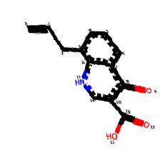 C=CCc1cccc2c(=O)c(C(=O)O)c[nH]c12